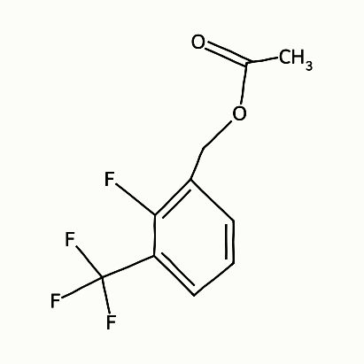 CC(=O)OCc1cccc(C(F)(F)F)c1F